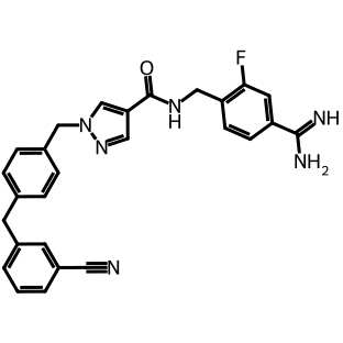 N#Cc1cccc(Cc2ccc(Cn3cc(C(=O)NCc4ccc(C(=N)N)cc4F)cn3)cc2)c1